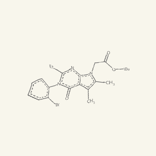 CCc1nc2c(c(C)c(C)n2CC(=O)OC(C)(C)C)c(=O)n1-c1ccccc1Br